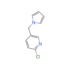 Clc1ccc(Cn2cccc2)cn1